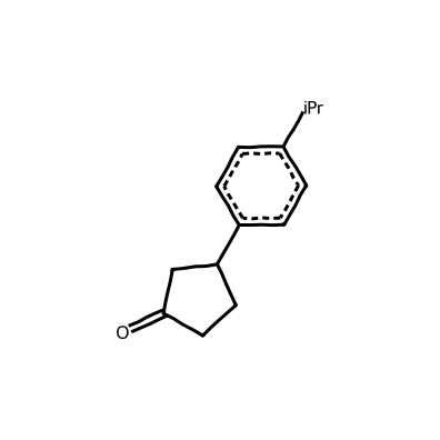 CC(C)c1ccc(C2CCC(=O)C2)cc1